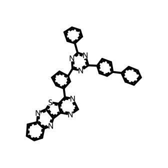 c1ccc(-c2ccc(-c3nc(-c4ccccc4)nc(-c4cccc(-c5ncnc6c5sc5nc7ccccc7nc56)c4)n3)cc2)cc1